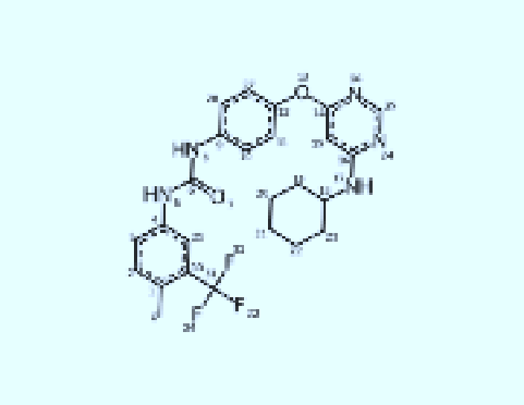 Cc1ccc(NC(=O)Nc2ccc(Oc3cc(NC4CCCCC4)ncn3)cc2)cc1C(F)(F)F